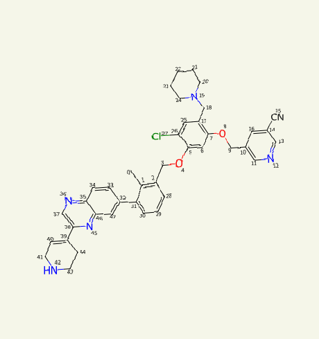 Cc1c(COc2cc(OCc3cncc(C#N)c3)c(CN3CCCCC3)cc2Cl)cccc1-c1ccc2ncc(C3=CCNCC3)nc2c1